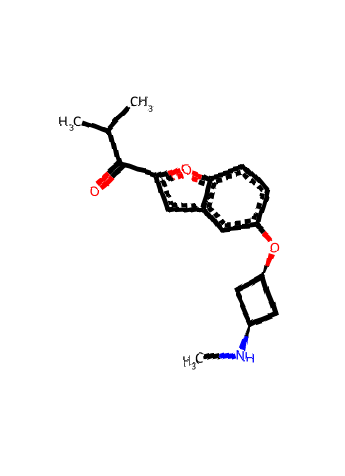 CN[C@H]1C[C@@H](Oc2ccc3oc(C(=O)C(C)C)cc3c2)C1